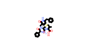 CC1=C(C(=O)O)N2C(=O)[C@@H](N(Cc3ccc(Cc4ccccc4)[nH]c3=O)C(=O)[C@H](N)c3ccccc3)[C@H]2SC1